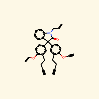 C#CCCc1cc(C2(c3ccc(OC=C)c(CCC#C)c3)C(=O)N(CC=C)c3ccccc32)ccc1OC#C